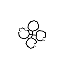 C1CCCCC(C(C2CCCCCCCCC2)(C2CCCCCCCCC2)C2CCCCCCCCC2)CCCC1